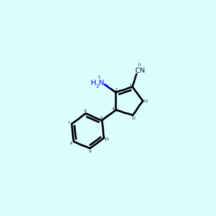 N#CC1=C(N)C(c2ccccc2)CC1